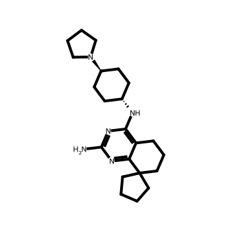 Nc1nc(N[C@H]2CC[C@H](N3CCCC3)CC2)c2c(n1)C1(CCCC1)CCC2